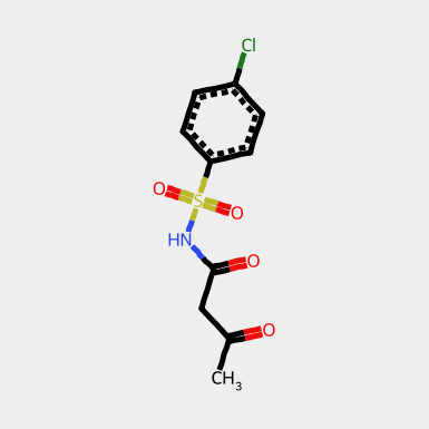 CC(=O)CC(=O)NS(=O)(=O)c1ccc(Cl)cc1